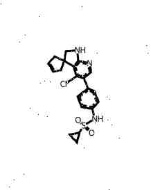 O=S(=O)(Nc1ccc(-c2cnc3c(c2Cl)C2(CC=CC2)CN3)cc1)C1CC1